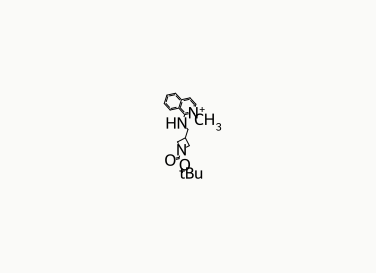 C[n+]1ccc2ccccc2c1NCC1CN(C(=O)OC(C)(C)C)C1